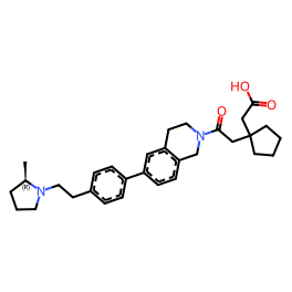 C[C@@H]1CCCN1CCc1ccc(-c2ccc3c(c2)CCN(C(=O)CC2(CC(=O)O)CCCC2)C3)cc1